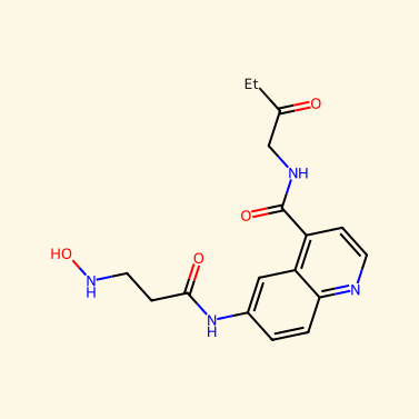 CCC(=O)CNC(=O)c1ccnc2ccc(NC(=O)CCNO)cc12